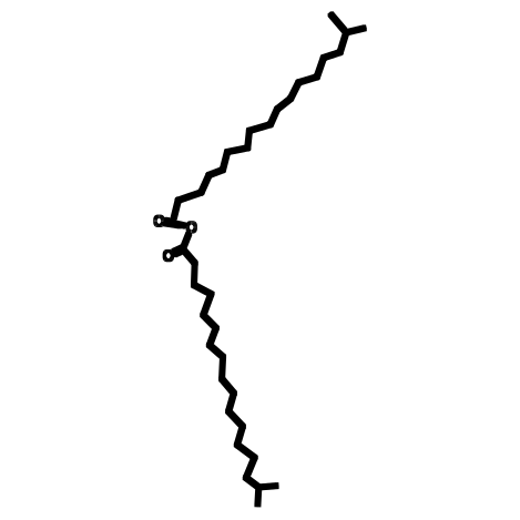 CC(C)CCCCCCCCCCCCCCC(=O)OC(=O)CCCCCCCCCCCCCCC(C)C